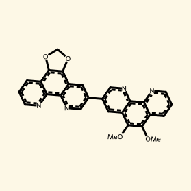 COc1c(OC)c2cc(-c3cnc4c(c3)c3c(c5cccnc54)OCO3)cnc2c2ncccc12